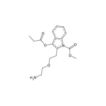 CCC(=O)Oc1c(CCOCCN)n(C(=O)OC)c2ccccc12